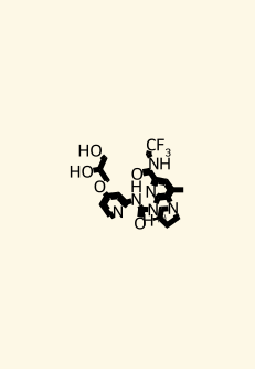 Cc1cc(C(=O)NCC(F)(F)F)nc2c1N1CC[C@@H](C1)N2C(=O)Nc1cc(OCC(O)CO)ccn1